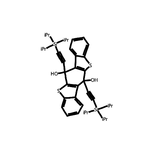 CC(C)[Si](C#CC1(O)c2sc3ccccc3c2C(O)(C#C[Si](C(C)C)(C(C)C)C(C)C)c2sc3ccccc3c21)(C(C)C)C(C)C